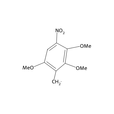 [CH2]c1c(OC)cc([N+](=O)[O-])c(OC)c1OC